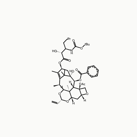 C=C[C@H]1O[C@H]2C[C@H]3OC[C@@]3(OC(C)=O)[C@H]3[C@H](OC(=O)c4ccccc4)[C@]4(O)C[C@H](OC(=O)[C@H](O)C(CC(C)C)NC(=O)OC(C)(C)C)C(C)=C([C@H](C)[C@H](O1)[C@]23C)C4(C)C